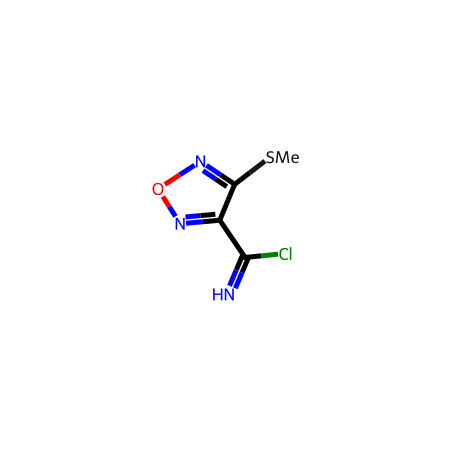 CSc1nonc1C(=N)Cl